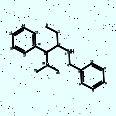 CCC(NCc1ccccc1)C(c1ccccc1)N(C)C